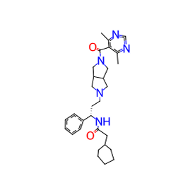 Cc1ncnc(C)c1C(=O)N1CC2CN(CC[C@H](NC(=O)CC3CCCCC3)c3ccccc3)CC2C1